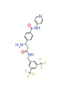 NC(CC(=O)NCc1cc(C(F)(F)F)cc(C(F)(F)F)c1)c1ccc(C(=O)Nc2ccncc2)cc1